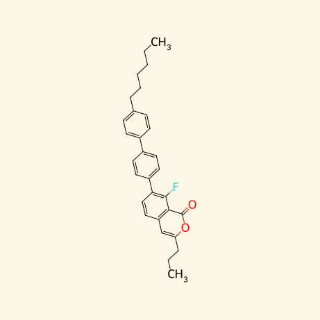 CCCCCCc1ccc(-c2ccc(-c3ccc4cc(CCC)oc(=O)c4c3F)cc2)cc1